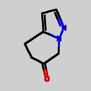 O=C1CCc2ccnn2C1